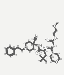 COCCOC(=O)/N=C(\NC(CC(C)(C)C)C(=O)NC1(C#N)CCN(CCc2ccccc2)CC1)N1CCOCC1